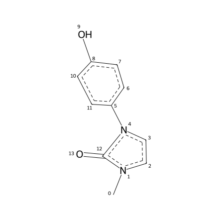 Cn1ccn(-c2ccc(O)cc2)c1=O